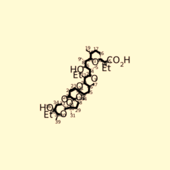 CC[C@@H](C(=O)[C@@H](C)[C@@H](O)[C@H](C)C1O[C@@H]([C@@H](CC)C(=O)O)CC[C@@H]1C)[C@H]1O[C@]2(C=CC(=O)[C@]3(CC[C@@](C)([C@H]4CC[C@](O)(CC)[C@H](C)O4)O3)O2)[C@H](C)C[C@@H]1C